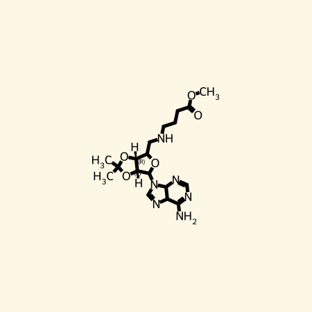 COC(=O)CCCNCC1OC(N2C=NC3C(N)=NC=NC32)[C@@H]2OC(C)(C)O[C@H]12